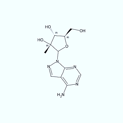 C[C@]1(O)C(n2ncc3c(N)ncnc32)O[C@H](CO)[C@H]1O